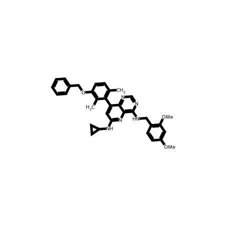 COc1ccc(CNc2ncnc3c(-c4c(C)ccc(OCc5ccccc5)c4C)cc(NC4CC4)nc23)c(OC)c1